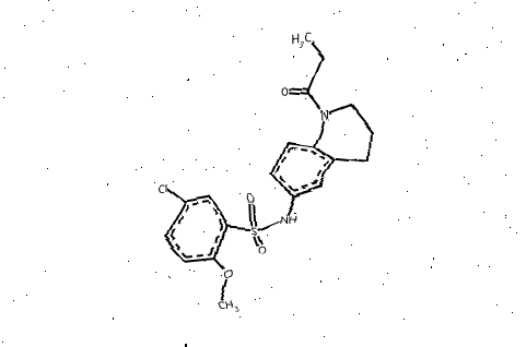 CCC(=O)N1CCCc2cc(NS(=O)(=O)c3cc(Cl)ccc3OC)ccc21